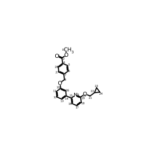 COC(=O)c1ccc(COc2cccc(-c3cccc(OCC4CC4)n3)c2)cc1